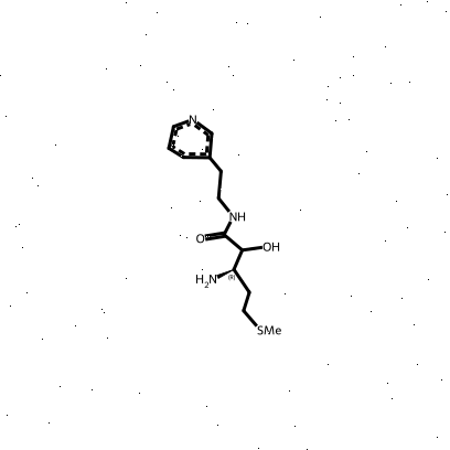 CSCC[C@@H](N)C(O)C(=O)NCCc1cccnc1